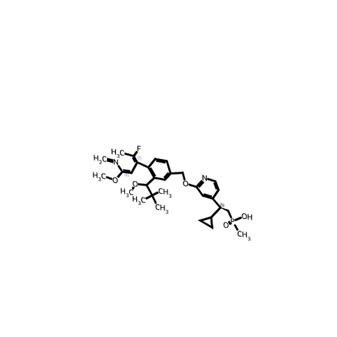 C=N/C(=C\C(=C(/C)F)c1ccc(COc2cc([C@@H](CP(C)(=O)O)C3CC3)ccn2)cc1C(OC)C(C)(C)C)OC